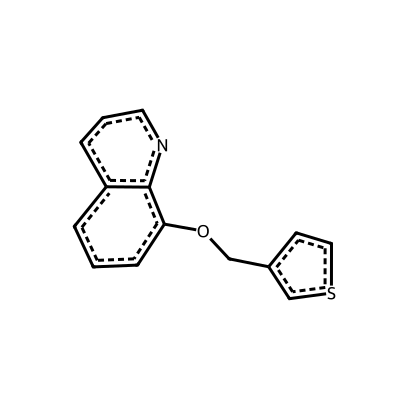 c1cnc2c(OCc3ccsc3)cccc2c1